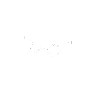 O=Cc1ccc(-c2cccc(OC(F)(F)F)c2)s1